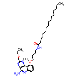 CCCCCCCCCCCCCCCC(=O)NCCCCOc1cccc2nc(N)c3nc(COCC)n(C)c3c12